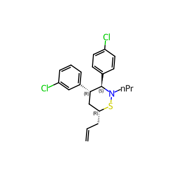 C=CC[C@@H]1C[C@H](c2cccc(Cl)c2)[C@@H](c2ccc(Cl)cc2)N(CCC)S1